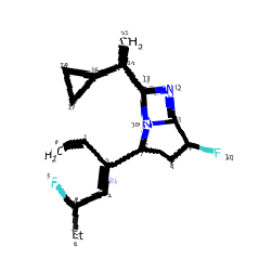 C=C/C(=C\C(F)CC)C1CC(F)C2=NC(C(=C)C3CC3)N21